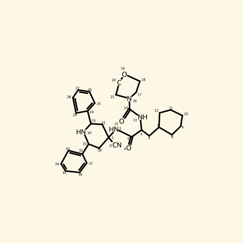 N#CC1(NC(=O)C(CC2CCCCC2)NC(=O)N2CCOCC2)CC(c2ccccc2)NC(c2ccccc2)C1